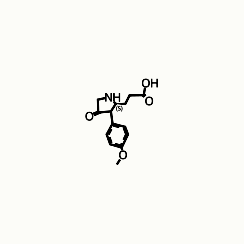 COc1ccc(C2C(=O)CN[C@H]2CCC(=O)O)cc1